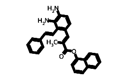 CC(=Cc1ccc(N)c(N)c1C=Cc1ccccc1)C(=O)Oc1cccc2ccccc12